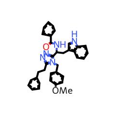 COc1ccc(Cn2c(CCc3ccccc3)nnc2C(Cc2c[nH]c3ccccc23)NC(=O)c2ccccc2)cc1